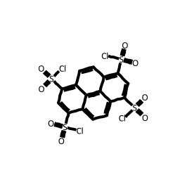 O=S(=O)(Cl)c1cc(S(=O)(=O)Cl)c2ccc3c(S(=O)(=O)Cl)cc(S(=O)(=O)Cl)c4ccc1c2c43